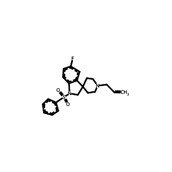 C=CCN1CCC2(CC1)CN(S(=O)(=O)c1ccccc1)c1ccc(F)cc12